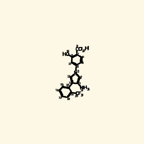 Nc1cn(-c2ccc(C(=O)O)c(O)c2)cc1-c1ccccc1C(F)(F)F